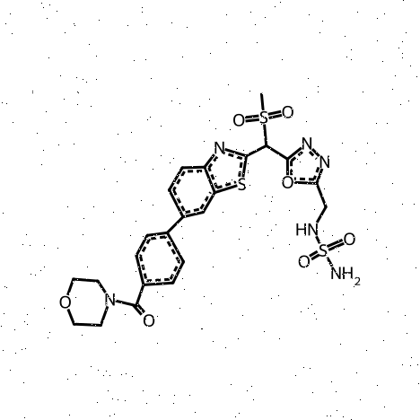 CS(=O)(=O)C(c1nnc(CNS(N)(=O)=O)o1)c1nc2ccc(-c3ccc(C(=O)N4CCOCC4)cc3)cc2s1